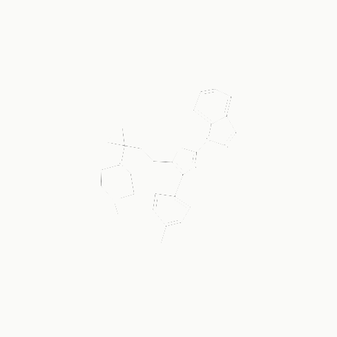 [O-][S+]1CCN(C2(CCc3oc(-n4ncc5ccccc54)nc3-c3ccc(Cl)cc3)OO2)CC1